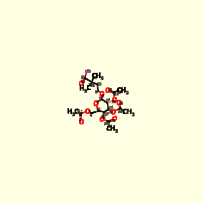 CC(=O)OC[C@H]1O[C@@H](OCCC(C)(C)C(=O)I)[C@H](OC(C)=O)[C@@H](OC(C)=O)[C@H]1OC(C)=O